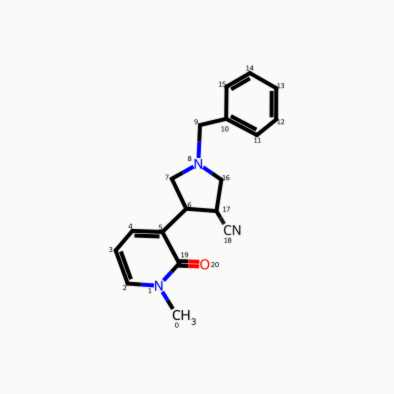 Cn1cccc(C2CN(Cc3ccccc3)CC2C#N)c1=O